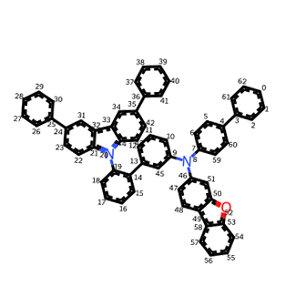 c1ccc(-c2ccc(N(c3cccc(-c4ccccc4-n4c5ccc(-c6ccccc6)cc5c5cc(-c6ccccc6)ccc54)c3)c3ccc4c(c3)oc3ccccc34)cc2)cc1